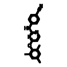 Cc1cc(C)c(Oc2ccnc(Nc3ccc(C#N)cc3)n2)c(C)c1